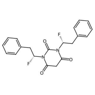 O=C1CC(=O)N([C@H](F)Cc2ccccc2)C(=O)N1[C@H](F)Cc1ccccc1